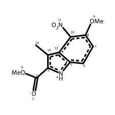 COC(=O)c1[nH]c2ccc(OC)c([N+](=O)[O-])c2c1C